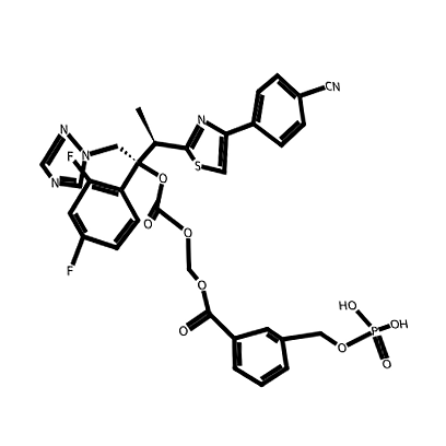 C[C@@H](c1nc(-c2ccc(C#N)cc2)cs1)[C@@](Cn1cncn1)(OC(=O)OCOC(=O)c1cccc(COP(=O)(O)O)c1)c1ccc(F)cc1F